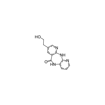 O=C1Nc2cccnc2Nc2ncc(CCO)cc21